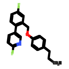 O=C(O)CCc1ccc(OCc2cc(F)ccc2-c2ccc(F)nc2)cc1